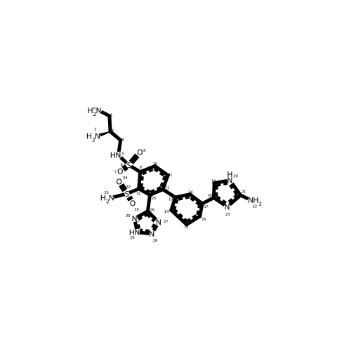 NC[C@H](N)CNS(=O)(=O)c1ccc(-c2cccc(-c3c[nH]c(N)n3)c2)c(-c2nn[nH]n2)c1S(N)(=O)=O